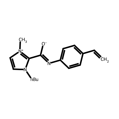 C=Cc1ccc(/N=C(\[O-])c2n(CCCC)cc[n+]2C)cc1